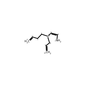 C=CCCN(/C=C\N)CC=C